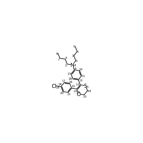 CCCCN(CCCC)c1ccc(C2=C(c3ccc(Cl)cc3)OCCS2)cc1